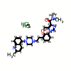 Cc1ccc2c(N3CCN(CCc4cccc5c4OCc4c(C(=O)N(C)C(C)C)ncn4-5)CC3)cccc2n1.Cl.Cl